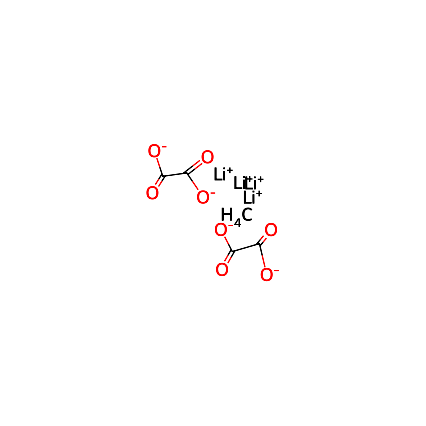 C.O=C([O-])C(=O)[O-].O=C([O-])C(=O)[O-].[Li+].[Li+].[Li+].[Li+]